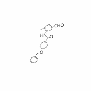 Cc1ccc(C=O)cc1NC(=O)c1ccc(OCc2ccccc2)cc1